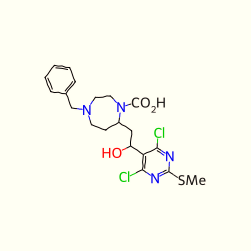 CSc1nc(Cl)c(C(O)CC2CCN(Cc3ccccc3)CCN2C(=O)O)c(Cl)n1